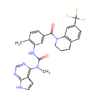 Cc1ccc(C(=O)N2CCCc3ccc(C(F)(F)F)cc32)cc1NC(=O)N(C)c1ncnc2[nH]ccc12